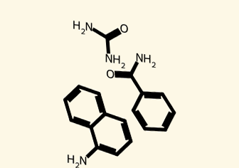 NC(=O)c1ccccc1.NC(N)=O.Nc1cccc2ccccc12